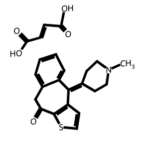 CN1CCC(=C2c3ccccc3CC(=O)c3sccc32)CC1.O=C(O)C=CC(=O)O